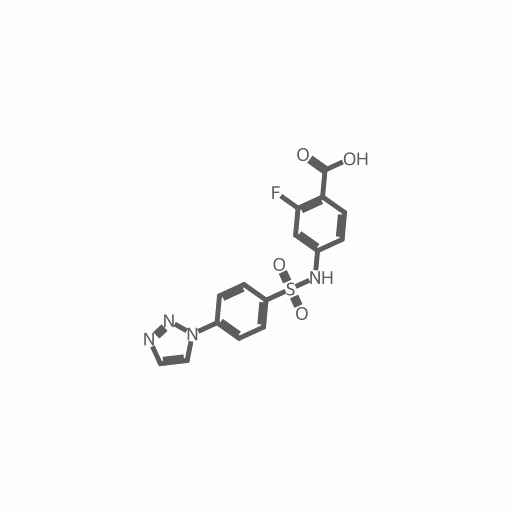 O=C(O)c1ccc(NS(=O)(=O)c2ccc(-n3ccnn3)cc2)cc1F